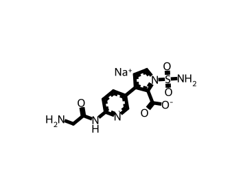 NCC(=O)Nc1ccc(-c2ccn(S(N)(=O)=O)c2C(=O)[O-])cn1.[Na+]